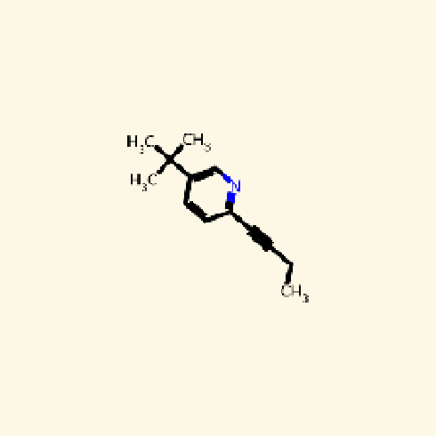 CCC#Cc1ccc(C(C)(C)C)cn1